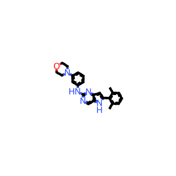 Cc1cccc(C)c1-c1cc2nc(Nc3cccc(N4CCOCC4)c3)ncc2[nH]1